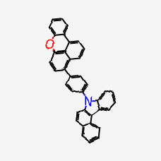 c1ccc2c(c1)Oc1ccc(-c3ccc(-n4c5ccccc5c5c6ccccc6ccc54)cc3)c3cccc-2c13